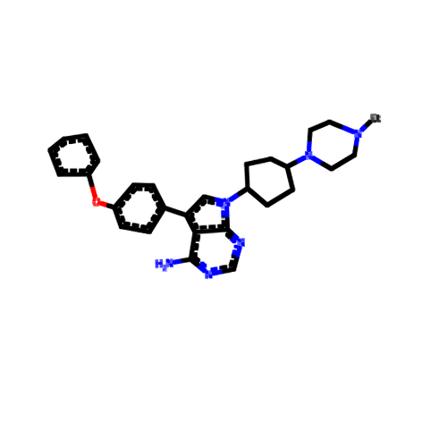 CCN1CCN(C2CCC(n3cc(-c4ccc(Oc5ccccc5)cc4)c4c(N)ncnc43)CC2)CC1